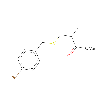 COC(=O)C(C)CSCc1ccc(Br)cc1